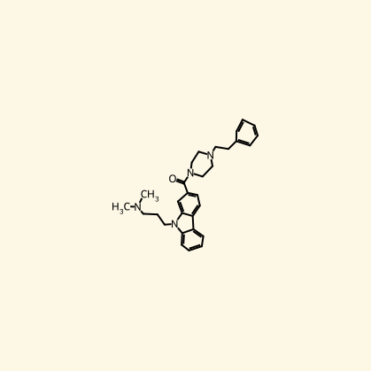 CN(C)CCCn1c2ccccc2c2ccc(C(=O)N3CCN(CCc4ccccc4)CC3)cc21